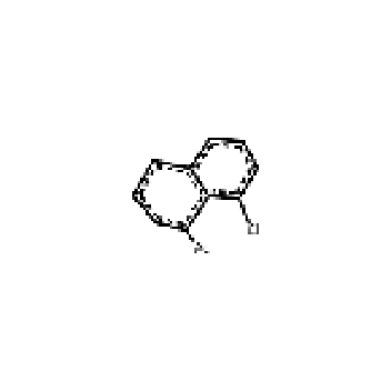 CC(=O)c1cccc2cccc(Cl)c12